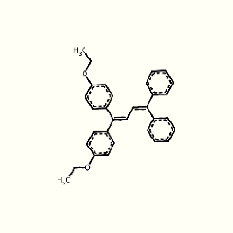 CCOc1ccc(C(=CC=C(c2ccccc2)c2ccccc2)c2ccc(OCC)cc2)cc1